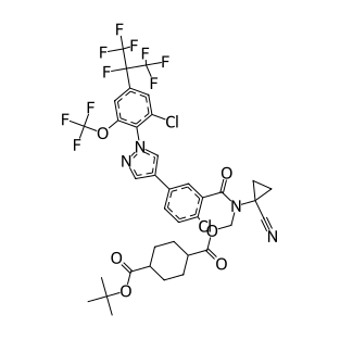 CC(C)(C)OC(=O)C1CCC(C(=O)OCN(C(=O)c2cc(-c3cnn(-c4c(Cl)cc(C(F)(C(F)(F)F)C(F)(F)F)cc4OC(F)(F)F)c3)ccc2Cl)C2(C#N)CC2)CC1